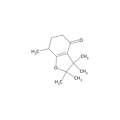 CC1CCC(=O)C2=C1OC(C)(C)C2(C)C